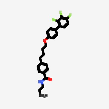 O=C(O)CCNC(=O)c1ccc(CCCCOc2ccc(-c3ccc(F)c(F)c3F)cc2)cc1